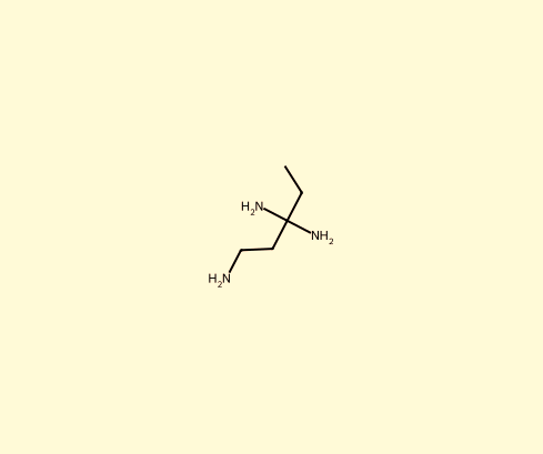 CCC(N)(N)CCN